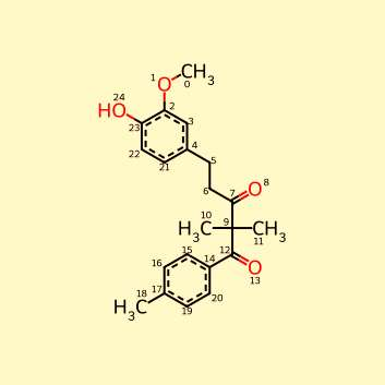 COc1cc(CCC(=O)C(C)(C)C(=O)c2ccc(C)cc2)ccc1O